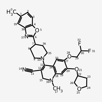 Cc1ccc2oc(C3CCN(C4=C(C#N)CN(C)c5cc(OC6CCOC6)c(OCC(F)F)cc54)CC3)nc2c1